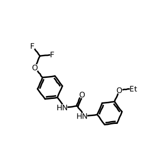 CCOc1cccc(NC(=O)Nc2ccc(OC(F)F)cc2)c1